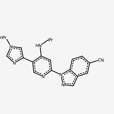 CCCn1cnc(-c2cnc(-n3ncc4cc(C#N)ccc43)cc2NC(C)C)c1